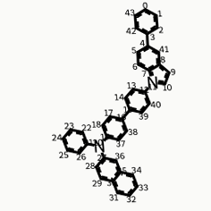 c1ccc(-c2ccc3c(ccn3-c3ccc(-c4ccc(N(c5ccccc5)c5ccc6ccccc6c5)cc4)cc3)c2)cc1